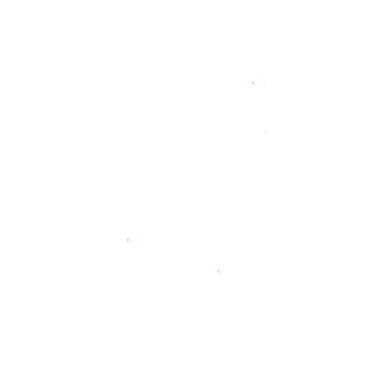 C=COC(=O)CCC1CO1